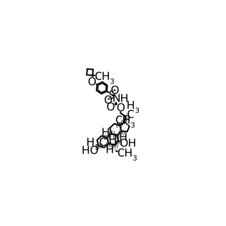 CC[C@H]1[C@@H](O)[C@@H]2[C@H](CC[C@]3(C)[C@@H]([C@H](C)COC(=O)NS(=O)(=O)c4ccc(OC5(C)CCC5)cc4)CC[C@@H]23)[C@@]2(C)CC[C@@H](O)C[C@@H]12